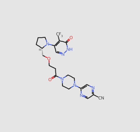 N#Cc1cnc(N2CCN(C(=O)CCOC[C@@H]3CCCN3c3cn[nH]c(=O)c3C(F)(F)F)CC2)cn1